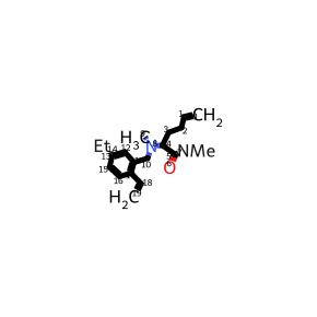 C=CCCC(C(=O)NC)N(C)Cc1cc(CC)ccc1C=C